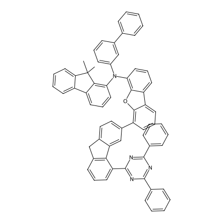 CC1(C)c2ccccc2-c2cccc(N(c3cccc(-c4ccccc4)c3)c3cccc4c3oc3c(-c5ccc6c(c5)-c5c(cccc5-c5nc(-c7ccccc7)nc(-c7ccccc7)n5)C6)cccc34)c21